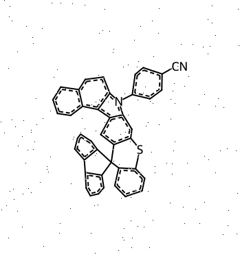 N#Cc1ccc(-n2c3cc4c(cc3c3c5ccccc5ccc32)C2(c3ccccc3S4)c3ccccc3-c3ccccc32)cc1